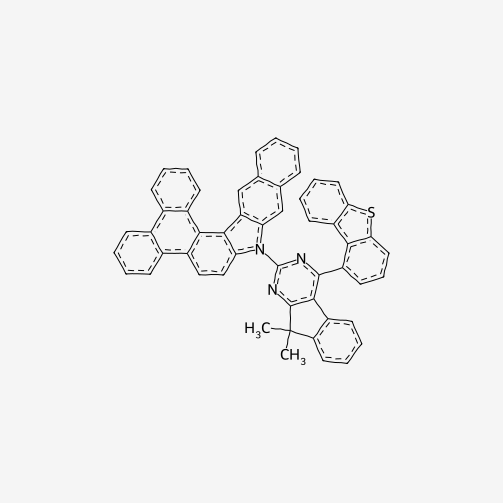 CC1(C)c2ccccc2-c2c(-c3cccc4sc5ccccc5c34)nc(-n3c4cc5ccccc5cc4c4c5c6ccccc6c6ccccc6c5ccc43)nc21